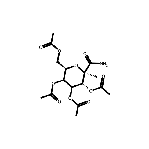 CC(=O)OC[C@H]1O[C@@](Br)(C(N)=O)[C@H](OC(C)=O)[C@@H](OC(C)=O)[C@H]1OC(C)=O